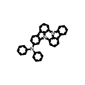 c1ccc(N(c2ccccc2)c2ccc3c4cccc5c4n(c3c2)c2cccc3c4ccccc4n5c32)cc1